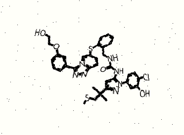 CSCC(C)(C)c1cc(NC(=O)NCc2ccccc2Sc2ccc3nnc(-c4cccc(OCCO)c4)n3c2)n(-c2ccc(Cl)c(O)c2)n1